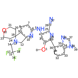 COc1cc(Nc2ccc3c(n2)CN(CC(F)(F)F)C32CCOCC2)c(C#N)nc1-c1cccc2c1ncn2C